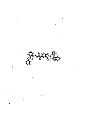 Cn1c(CCc2nc3ccccc3n2-n2ccnc2)nc2ccc(C(=O)NCCOc3ccccc3C(=O)OC3CCCCC3)cc21